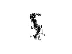 CCc1cc(Nc2nccn3c(-c4ccc(OC)c(F)c4F)cnc23)ccc1C(=O)NC1CCC(NC(=O)[C@@H](N)CCCNC(=N)N)C1